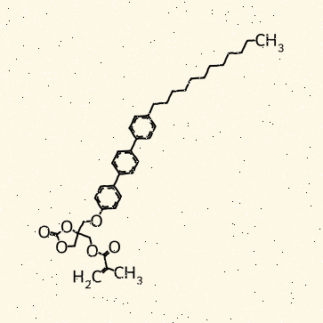 C=C(C)C(=O)OCC1(COc2ccc(-c3ccc(-c4ccc(CCCCCCCCCCCC)cc4)cc3)cc2)COC(=O)O1